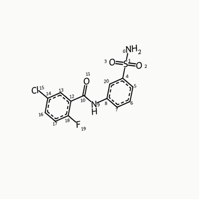 NS(=O)(=O)c1cccc(NC(=O)c2cc(Cl)ccc2F)c1